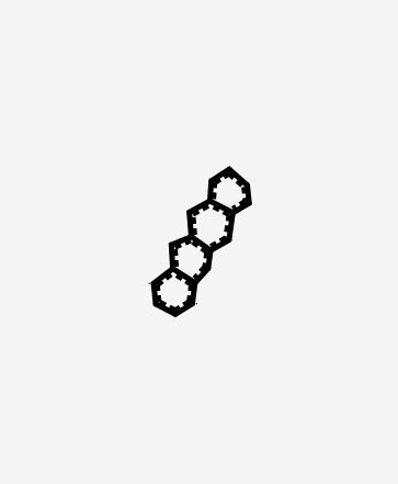 [c]1cc[c]c2cc3cc4ccccc4cc3cc12